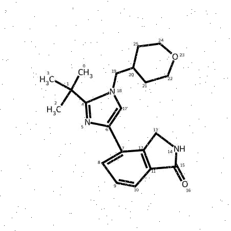 CC(C)(C)c1nc(-c2cccc3c2CNC3=O)cn1CC1CCOCC1